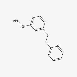 CCCOc1cccc(CCc2ccccn2)c1